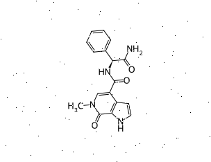 Cn1cc(C(=O)N[C@H](C(N)=O)c2ccccc2)c2cc[nH]c2c1=O